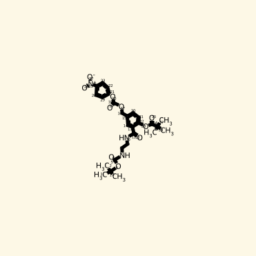 CC(C)(C)OC(=O)NCCNC(=O)c1cc(COC(=O)Oc2ccc([N+](=O)[O-])cc2)ccc1OC(=O)C(C)(C)C